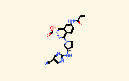 C=CC(=O)Nc1ccc2c(N3CC[C@@H](Nc4ncc(C#N)cn4)C3)nncc2c1.O=CO